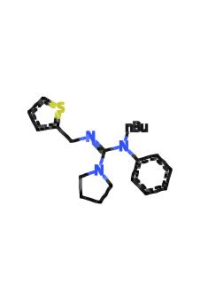 CCCCN(C(=NCc1cccs1)N1CCCC1)c1ccccc1